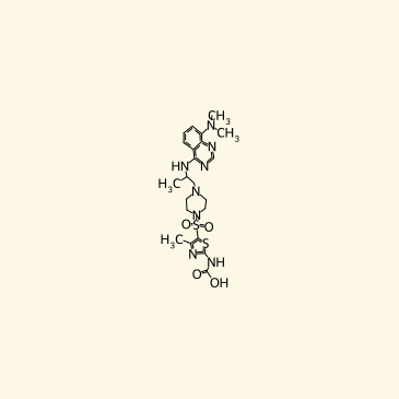 Cc1nc(NC(=O)O)sc1S(=O)(=O)N1CCN(CC(C)Nc2ncnc3c(N(C)C)cccc23)CC1